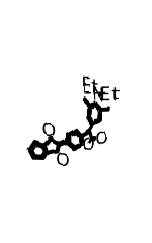 CCN(CC)c1c(C)cc(C2=c3ccc(=C4C(=O)c5ccccc5C4=O)cc3OC2=O)cc1C